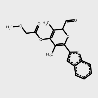 COCC(=O)OC1=C(C)C(C=O)OC(c2cc3ccccc3o2)=C1C